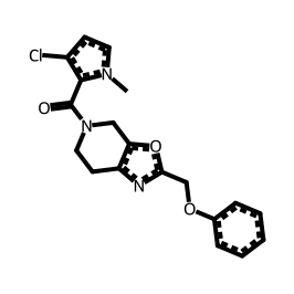 Cn1ccc(Cl)c1C(=O)N1CCc2nc(COc3ccccc3)oc2C1